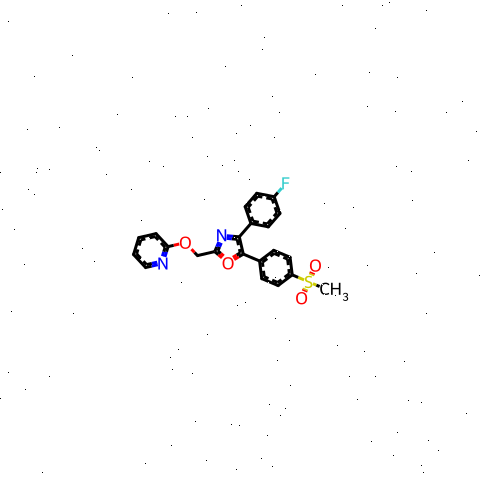 CS(=O)(=O)c1ccc(-c2oc(COc3ccccn3)nc2-c2ccc(F)cc2)cc1